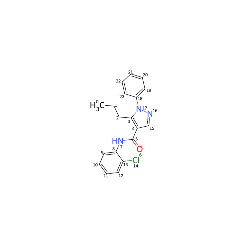 CCCc1c(C(=O)Nc2ccccc2Cl)cnn1-c1ccccc1